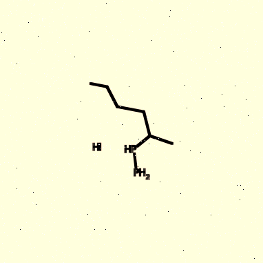 CCCCC(C)PP.I